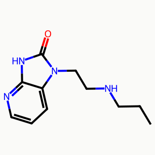 CCCNCCn1c(=O)[nH]c2ncccc21